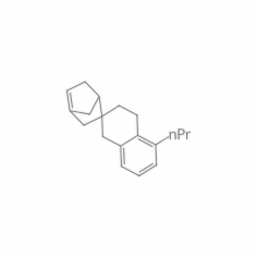 CCCc1cccc2c1CCC1(CC3=CCC1C3)C2